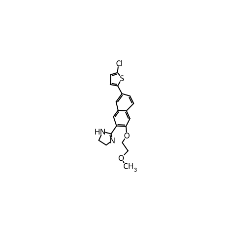 COCCOc1cc2ccc(-c3ccc(Cl)s3)cc2cc1C1=NCCN1